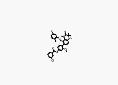 COc1cc(OC(=O)c2ccnc(Cl)c2)ccc1-c1ccc2c(c1COc1cc(F)ccc1C)N(C)C(=O)C(C)(C)N2